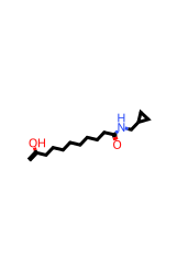 C=C(O)CCCCCCCCC(=O)NCC1CC1